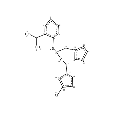 CC(C)c1ccccc1SC(CCc1ccc(Cl)s1)Cn1ccnc1